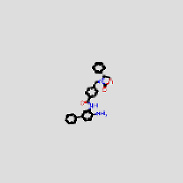 Nc1ccc(-c2ccccc2)cc1NC(=O)c1ccc(CN2C(=O)OC[C@H]2c2ccccc2)cc1